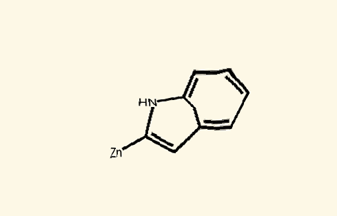 [Zn][c]1cc2ccccc2[nH]1